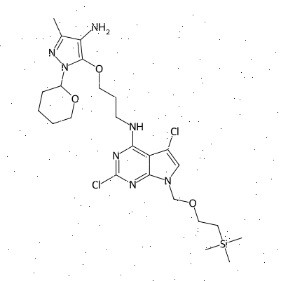 Cc1nn(C2CCCCO2)c(OCCCNc2nc(Cl)nc3c2c(Cl)cn3COCC[Si](C)(C)C)c1N